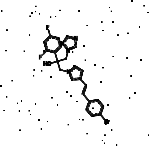 OC(Cn1ccc(/C=C/c2ccc(Br)cc2)c1)(Cn1cncn1)c1ccc(F)cc1F